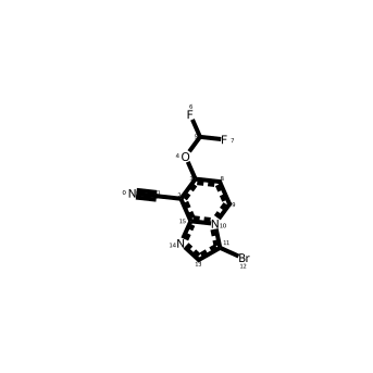 N#Cc1c(OC(F)F)ccn2c(Br)cnc12